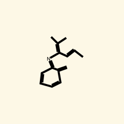 C=C1C=CC=C/C1=N/C(/C=C/C)=C(C)C